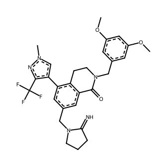 COc1cc(CN2CCc3c(cc(CN4CCCC4=N)cc3-c3cn(C)nc3C(F)(F)F)C2=O)cc(OC)c1